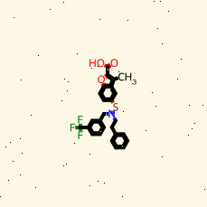 Cc1c(C(=O)O)oc2ccc(SN(CCc3ccccc3)Cc3cccc(C(F)(F)F)c3)cc12